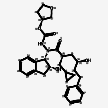 O=C(NN(C(=O)[C@H](CC1CC1)C[C@@H](O)CCc1ccccc1)[C@H]1c2ccccc2C[C@H]1O)O[C@H]1CCOC1